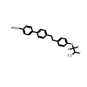 CCCCCc1ccc(-c2ccc(CCc3ccc(OC(F)(F)C(F)C(F)(F)F)cc3)cc2)cc1